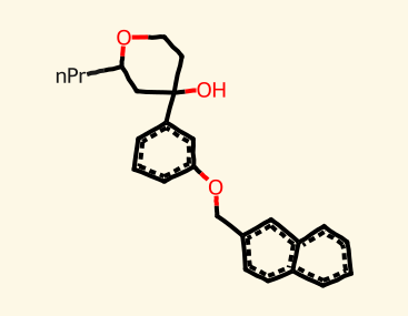 CCCC1CC(O)(c2cccc(OCc3ccc4ccccc4c3)c2)CCO1